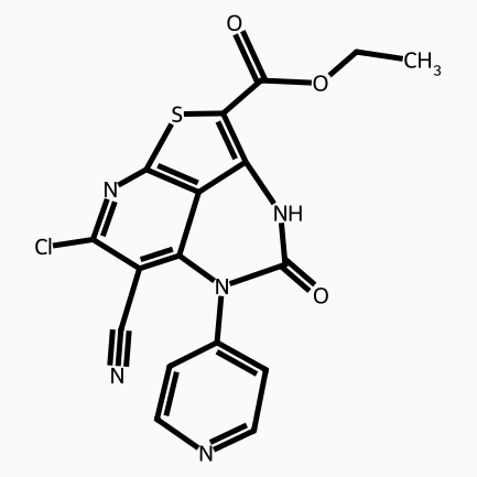 CCOC(=O)c1sc2nc(Cl)c(C#N)c3c2c1NC(=O)N3c1ccncc1